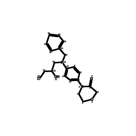 O=C1COCCN1c1ccc(N(Cc2ccccc2)CC(O)CCl)cc1